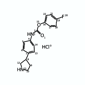 Cl.O=C(Nc1ccc(C2CCNC2)cc1)Oc1ccc(F)cc1